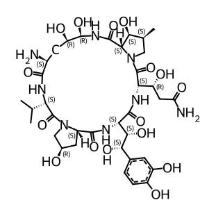 CC(C)[C@@H]1NC(=O)[C@@H](N)C[C@@H](O)[C@@H](O)NC(=O)[C@@H]2[C@@H](O)[C@@H](C)CN2C(=O)[C@H]([C@H](O)CC(N)=O)NC(=O)[C@H]([C@H](O)[C@@H](O)c2ccc(O)c(O)c2)NC(=O)[C@@H]2C[C@@H](O)CN2C1=O